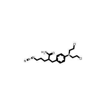 [N-]=[N+]=NCCCC(Cc1ccc(N(CCCl)CCCl)cc1)C(N)=O